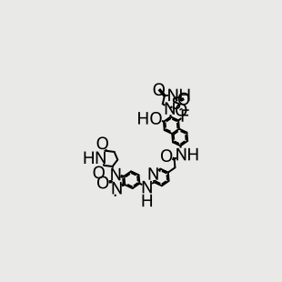 Cn1c(=O)n(C2CCC(=O)NC2=O)c2ccc(Nc3ccc(CC(=O)Nc4ccc5c(F)c(N6CC(=O)NS6(=O)=O)c(O)cc5c4)cn3)cc21